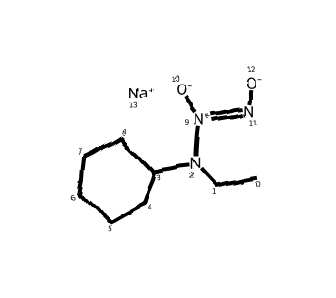 CCN(C1CCCCC1)[N+]([O-])=N[O-].[Na+]